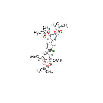 C=C(C)C(=O)Oc1ccc(-c2ccc(-c3cc(COC)c(OC(=O)C(=C)C)c(COC)c3)c(F)c2)cc1OC(=O)C(=C)C